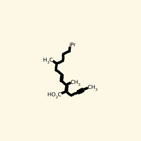 CC#CCC(C(=O)O)=C(C)C=CCC(C)CCCC(C)C